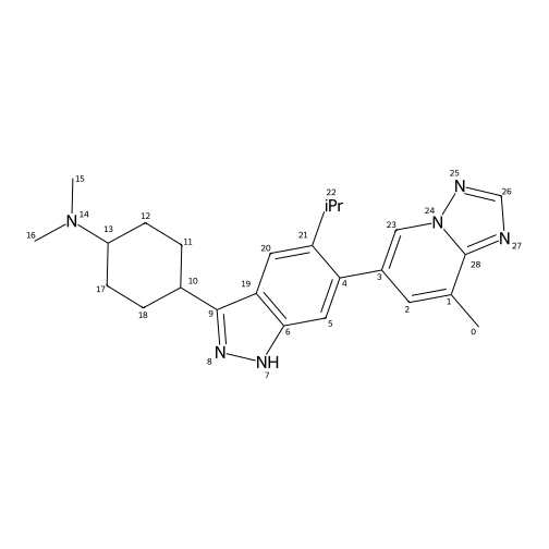 Cc1cc(-c2cc3[nH]nc(C4CCC(N(C)C)CC4)c3cc2C(C)C)cn2ncnc12